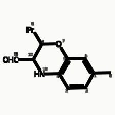 Cc1ccc2c(c1)OC(C(C)C)C(C=O)N2